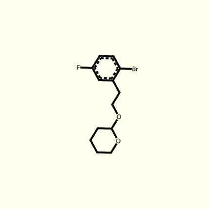 Fc1ccc(Br)c(CCOC2CCCCO2)c1